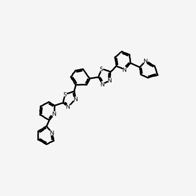 c1ccc(-c2cccc(-c3nnc(-c4cccc(-c5nnc(-c6cccc(-c7ccccn7)n6)s5)c4)s3)n2)nc1